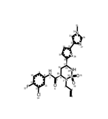 C=CCN1[C@@H](C(=O)Nc2ccc(F)c(Cl)c2)C[C@@H](c2ccc(-c3cn(C)cn3)s2)NS1(=O)=O